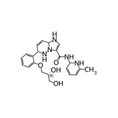 CC1=CC=CC(NC(=O)C2=CNC3C=CC(c4ccccc4OC[C@H](O)CO)NN23)N1